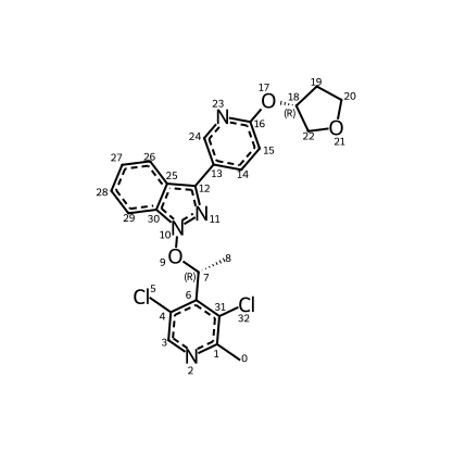 Cc1ncc(Cl)c([C@@H](C)On2nc(-c3ccc(O[C@@H]4CCOC4)nc3)c3ccccc32)c1Cl